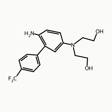 Nc1ccc(N(CCO)CCO)cc1-c1ccc(C(F)(F)F)cc1